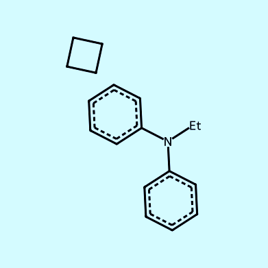 C1CCC1.CCN(c1ccccc1)c1ccccc1